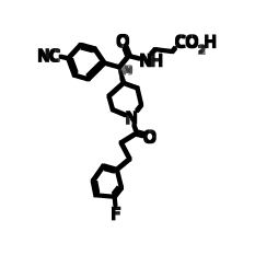 N#Cc1ccc([C@@H](C(=O)NCCC(=O)O)C2CCN(C(=O)CCc3cccc(F)c3)CC2)cc1